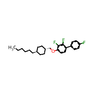 CCCCCC[C@H]1CC[C@H](COc2ccc(-c3ccc(F)cc3)c(F)c2F)CC1